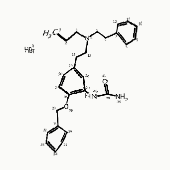 Br.CCCN(CCc1ccccc1)CCc1ccc(OCc2ccccc2)c(NC(N)=O)c1